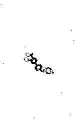 CC(=O)c1ccc(-c2ccc(CN3CCCN(C)CC3)cc2)cc1Cl